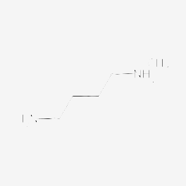 C.NCCCCN